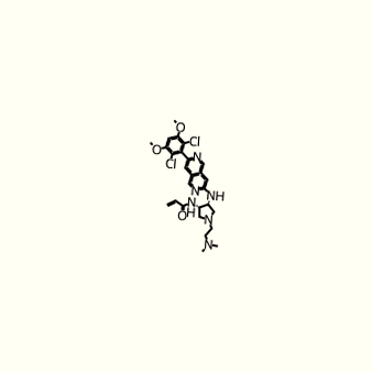 C=CC(=O)N[C@H]1CN(CCN(C)C)C[C@H]1Nc1cc2cnc(-c3c(Cl)c(OC)cc(OC)c3Cl)cc2cn1